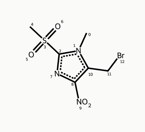 Cn1c(S(C)(=O)=O)nc([N+](=O)[O-])c1CBr